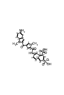 Cn1cc(C(=O)c2cc3cc(N)ccc3n2C)cc1C(=O)Nc1ccc2cc(S(=O)(=O)O)cc(S(=O)(=O)O)c2c1